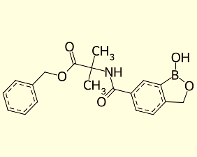 CC(C)(NC(=O)c1ccc2c(c1)B(O)OC2)C(=O)OCc1ccccc1